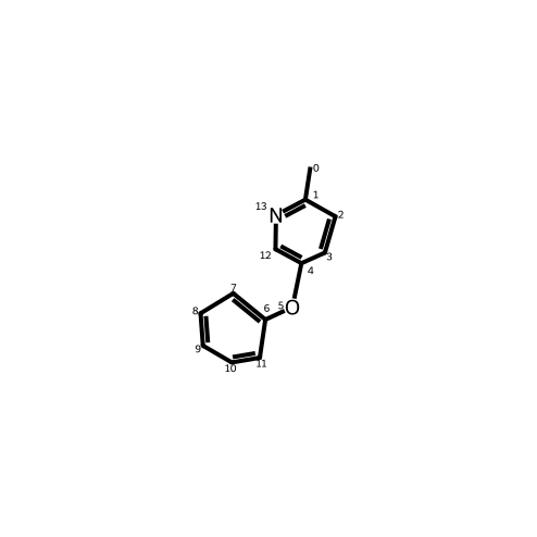 Cc1ccc(Oc2ccccc2)cn1